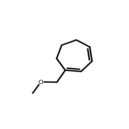 COCC1=CC=CCCC1